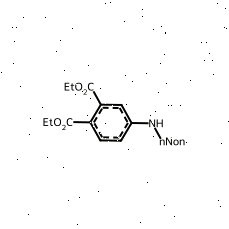 CCCCCCCCCNc1ccc(C(=O)OCC)c(C(=O)OCC)c1